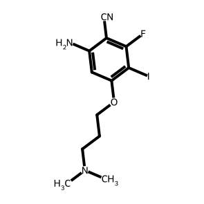 CN(C)CCCOc1cc(N)c(C#N)c(F)c1I